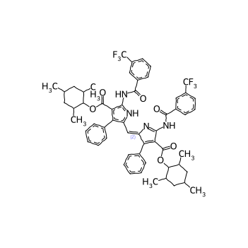 CC1CC(C)C(OC(=O)C2=C(c3ccccc3)/C(=C/c3[nH]c(NC(=O)c4cccc(C(F)(F)F)c4)c(C(=O)OC4C(C)CC(C)CC4C)c3-c3ccccc3)N=C2NC(=O)c2cccc(C(F)(F)F)c2)C(C)C1